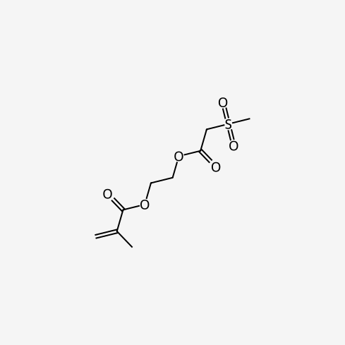 C=C(C)C(=O)OCCOC(=O)CS(C)(=O)=O